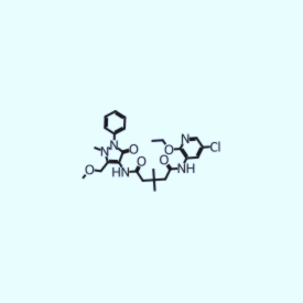 CCOc1ncc(Cl)cc1NC(=O)CC(C)(C)CC(=O)Nc1c(COC)n(C)n(-c2ccccc2)c1=O